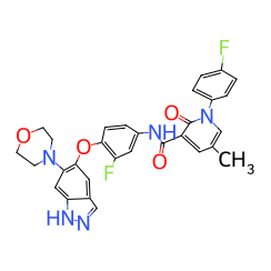 Cc1cc(C(=O)Nc2ccc(Oc3cc4cn[nH]c4cc3N3CCOCC3)c(F)c2)c(=O)n(-c2ccc(F)cc2)c1